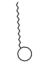 CCCCCCCCCCCCCCCCC1CCCCCCCCCCCC1